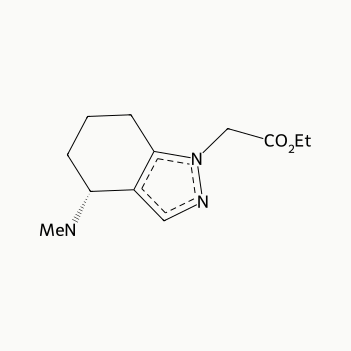 CCOC(=O)Cn1ncc2c1CCC[C@H]2NC